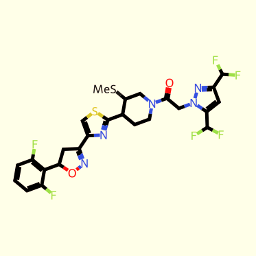 CSC1CN(C(=O)Cn2nc(C(F)F)cc2C(F)F)CCC1c1nc(C2=NOC(c3c(F)cccc3F)C2)cs1